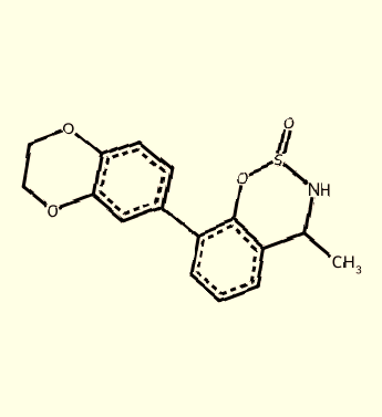 CC1NS(=O)Oc2c(-c3ccc4c(c3)OCCO4)cccc21